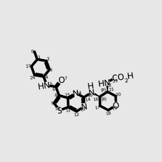 CC1C=CC(NC(=O)c2csc3cnc(N[C@@H]4CCOC[C@@H]4NC(=O)O)nc23)=CC1